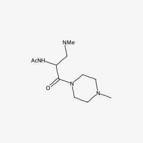 CNCC(NC(C)=O)C(=O)N1CCN(C)CC1